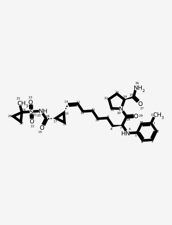 Cc1cccc(N[C@@H](CCCCC/C=C\[C@@H]2C[C@@H]2C(=O)NS(=O)(=O)C2(C)CC2)C(=O)N2CCC[C@H]2C(N)=O)c1